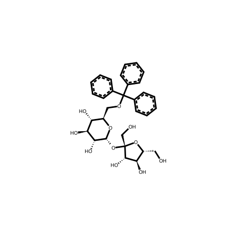 OC[C@H]1O[C@@](CO)(O[C@H]2O[C@H](COC(c3ccccc3)(c3ccccc3)c3ccccc3)[C@@H](O)[C@H](O)[C@H]2O)[C@@H](O)[C@@H]1O